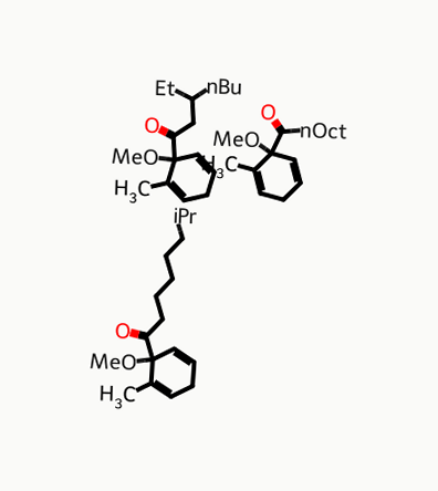 CCCCC(CC)CC(=O)C1(OC)C=CCC=C1C.CCCCCCCCC(=O)C1(OC)C=CCC=C1C.COC1(C(=O)CCCCCC(C)C)C=CCC=C1C